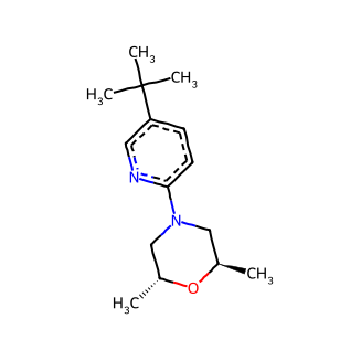 C[C@@H]1CN(c2ccc(C(C)(C)C)cn2)C[C@@H](C)O1